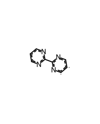 [c]1[c]nc(-c2ncccn2)nc1